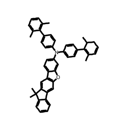 CC1=C(c2ccc(N(c3ccc(-c4c(C)cccc4C)cc3)c3ccc4c(c3)oc3cc5c(cc34)C(C)(C)c3ccccc3-5)cc2)C(C)CC=C1